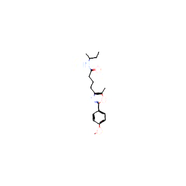 CCC(C)NC(=O)CCCc1nc(-c2ccc(OC)cc2)oc1C